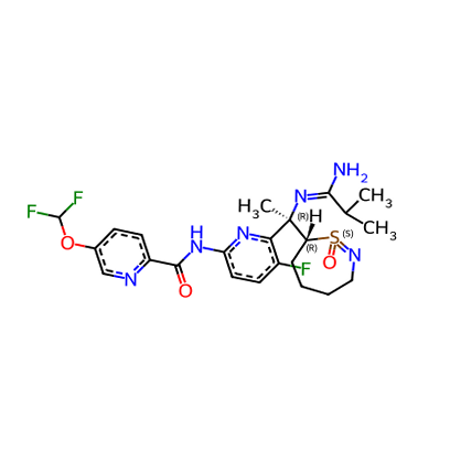 CC1(C)C(N)=N[C@](C)(c2nc(NC(=O)c3ccc(OC(F)F)cn3)ccc2F)[C@H]2CCCCN=[S@]21=O